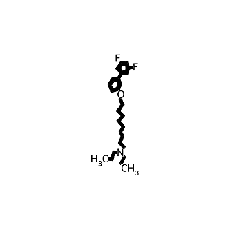 CCCN(CCC)CCCCCCCCCCOc1cccc(-c2cc(F)cc(F)c2)c1